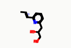 C/C=C/c1cccc(CC(O)CO)n1